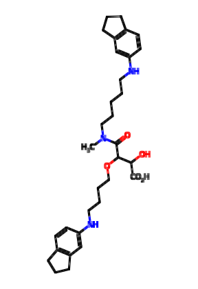 CN(CCCCCNc1ccc2c(c1)CCC2)C(=O)C(OCCCCNc1ccc2c(c1)CCC2)C(O)C(=O)O